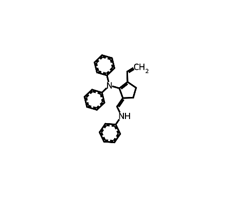 C=CC1=C(N(c2ccccc2)c2ccccc2)/C(=C/Nc2ccccc2)CC1